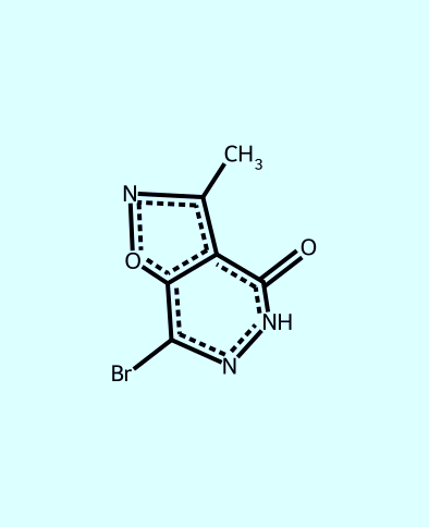 Cc1noc2c(Br)n[nH]c(=O)c12